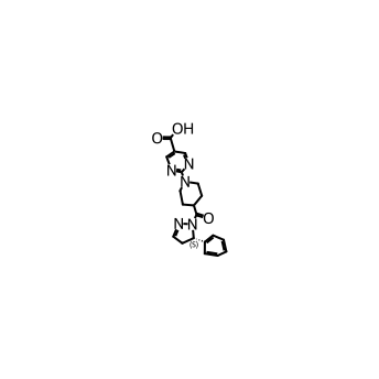 O=C(O)c1cnc(N2CCC(C(=O)N3N=CC[C@H]3c3ccccc3)CC2)nc1